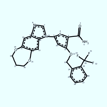 NC(=O)c1sc(-n2cnc3cc4c(cc32)OCCCO4)cc1OCc1ccccc1C(F)(F)F